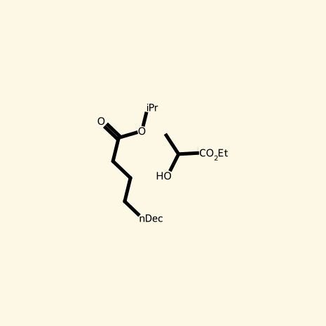 CCCCCCCCCCCCCC(=O)OC(C)C.CCOC(=O)C(C)O